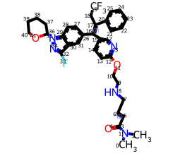 CN(C)C(=O)/C=C/CNCCOc1ccc(/C(=C(/CC(F)(F)F)c2ccccc2)c2ccc3c(c2)c(F)nn3C2CCCCO2)cn1